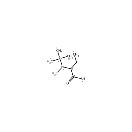 CCC(C(=O)S)N(C)[Si](C)(C)C